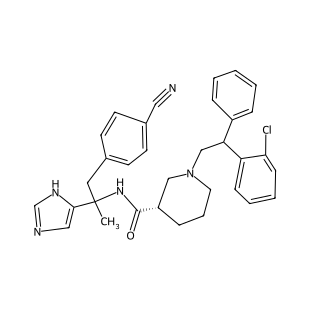 CC(Cc1ccc(C#N)cc1)(NC(=O)[C@H]1CCCN(CC(c2ccccc2)c2ccccc2Cl)C1)c1cnc[nH]1